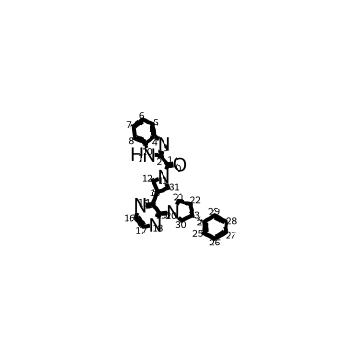 O=C(c1nc2ccccc2[nH]1)N1CC(c2nccnc2N2CC[C@H](c3ccccc3)C2)C1